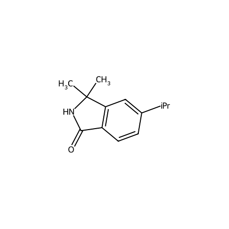 CC(C)c1ccc2c(c1)C(C)(C)NC2=O